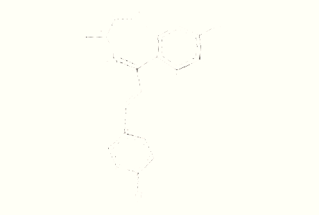 COc1ccc2c(c1)OCC(C)N=C2C=Cc1ccc(Cl)cc1